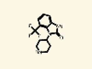 O=c1[nH]c2cccc(C(F)(F)F)c2n1C1CCNCC1